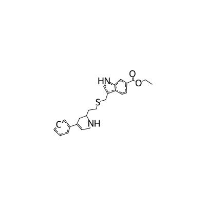 CCOC(=O)c1ccc2c(CSCCC3CC(c4ccccc4)=CCN3)c[nH]c2c1